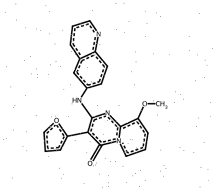 COc1cccn2c(=O)c(-c3ccco3)c(Nc3ccc4ncccc4c3)nc12